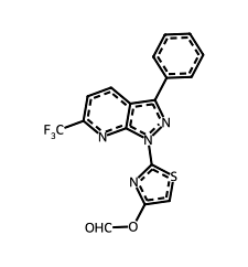 O=COc1csc(-n2nc(-c3ccccc3)c3ccc(C(F)(F)F)nc32)n1